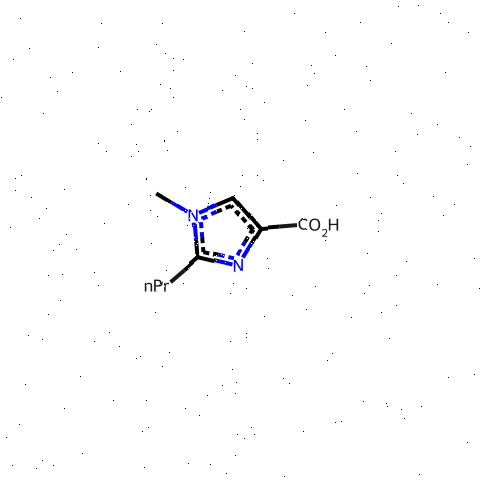 CCCc1nc(C(=O)O)cn1C